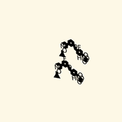 CS(=O)(=O)NC(=O)c1ccc(COc2cc(F)cc(-c3ccnc(OCC4CC4)c3)c2)cc1.CS(=O)(=O)NC(=O)c1ccc(COc2cccc(-c3ccnc(OCC4CC4)c3)c2)c(F)c1